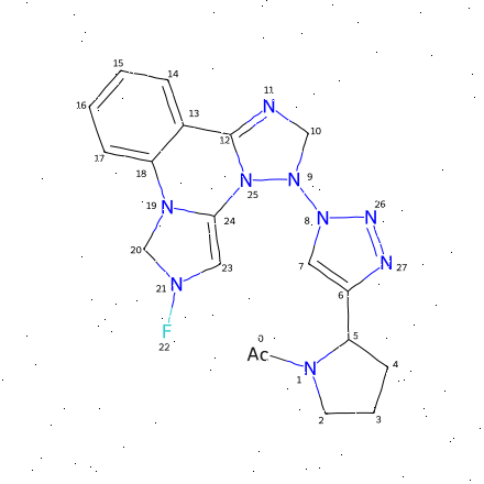 CC(=O)N1CCCC1c1cn(N2CN=C3c4ccccc4N4CN(F)C=C4N32)nn1